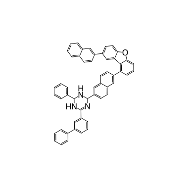 c1ccc(-c2cccc(C3=NC(c4ccc5cc(-c6cccc7oc8ccc(-c9ccc%10ccccc%10c9)cc8c67)ccc5c4)NC(c4ccccc4)N3)c2)cc1